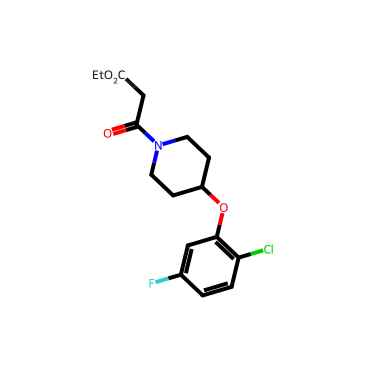 CCOC(=O)CC(=O)N1CCC(Oc2cc(F)ccc2Cl)CC1